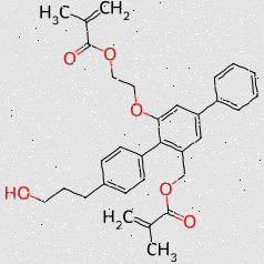 C=C(C)C(=O)OCCOc1cc(-c2ccccc2)cc(COC(=O)C(=C)C)c1-c1ccc(CCCO)cc1